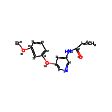 C=CC(=O)Nc1cncc(Oc2cccc(OCC)c2)c1